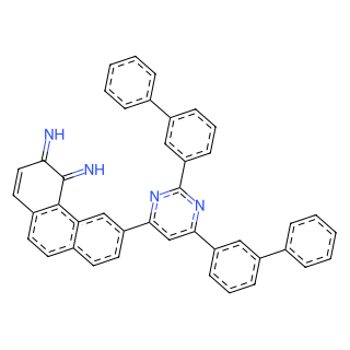 N=C1C=Cc2ccc3ccc(-c4cc(-c5cccc(-c6ccccc6)c5)nc(-c5cccc(-c6ccccc6)c5)n4)cc3c2C1=N